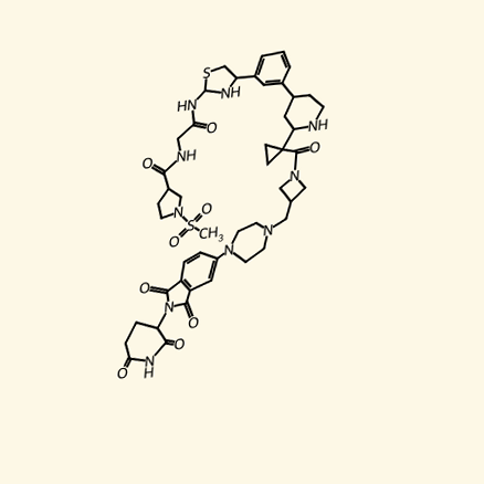 CS(=O)(=O)N1CCC(C(=O)NCC(=O)NC2NC(c3cccc(C4CCNC(C5(C(=O)N6CC(CN7CCN(c8ccc9c(c8)C(=O)N(C8CCC(=O)NC8=O)C9=O)CC7)C6)CC5)C4)c3)CS2)C1